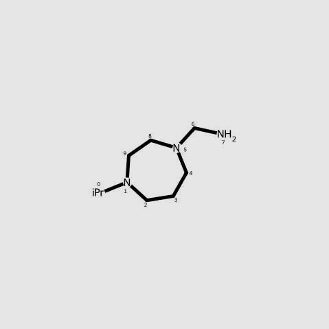 CC(C)N1CCCN(CN)CC1